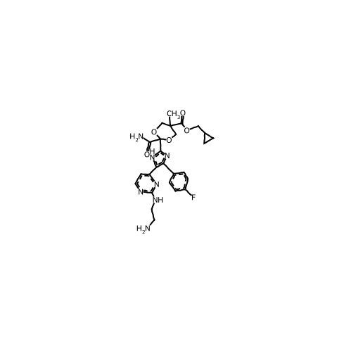 CC1(C(=O)OCC2CC2)COC(C(N)=O)(c2nc(-c3ccc(F)cc3)c(-c3ccnc(NCCN)n3)[nH]2)OC1